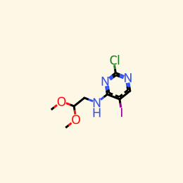 COC(CNc1nc(Cl)ncc1I)OC